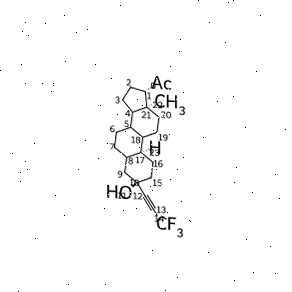 CC(=O)[C@H]1CCC2C3CCC4C[C@@](O)(C#CC(F)(F)F)CC[C@@H]4C3CC[C@@]21C